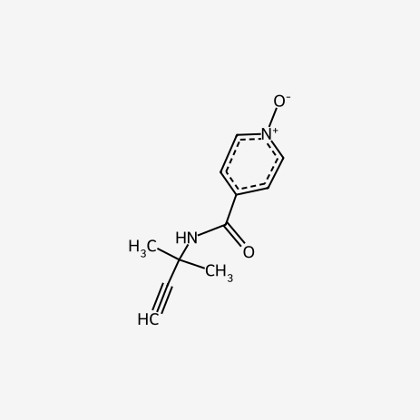 C#CC(C)(C)NC(=O)c1cc[n+]([O-])cc1